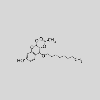 CCCCCCCCOc1c(OC(C)=O)c(=O)oc2cc(O)ccc12